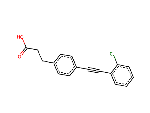 O=C(O)CCc1ccc(C#Cc2ccccc2Cl)cc1